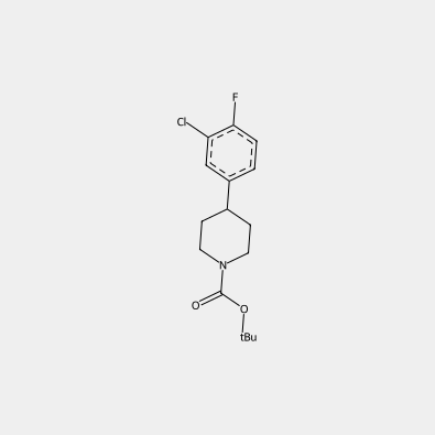 CC(C)(C)OC(=O)N1CCC(c2ccc(F)c(Cl)c2)CC1